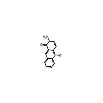 NC1C=Cc2c(cc3ccccc3[n+]2[O-])C1=O